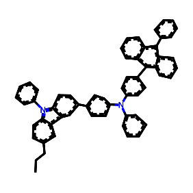 CCCc1ccc2c(c1)c1cc(-c3ccc(N(c4ccccc4)c4ccc(-c5c6ccccc6c(-c6ccccc6)c6ccccc56)cc4)cc3)ccc1n2-c1ccccc1